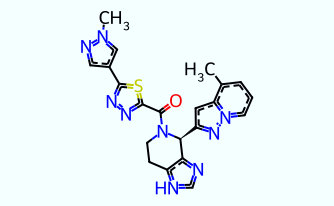 Cc1cccn2nc([C@H]3c4nc[nH]c4CCN3C(=O)c3nnc(-c4cnn(C)c4)s3)cc12